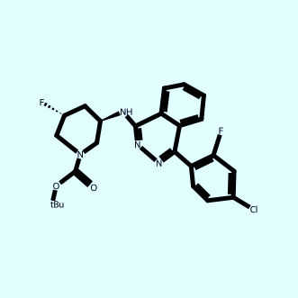 CC(C)(C)OC(=O)N1C[C@H](F)C[C@@H](Nc2nnc(-c3ccc(Cl)cc3F)c3ccccc23)C1